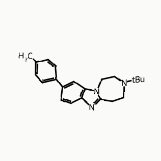 Cc1ccc(-c2ccc3nc4n(c3c2)CCN(C(C)(C)C)CC4)cc1